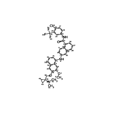 COc1cc2c(Nc3ccc4c(C(=O)Nc5ccc(Cl)c(C(F)(F)F)c5)cccc4c3)ccnc2cc1OCC1(N(C)C)CC1